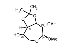 CO[C@H]1OC[C@@H](O)[C@H]2OC(C)(C)OC2[C@@H]1OC(C)=O